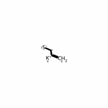 C=CC[S-].[K+]